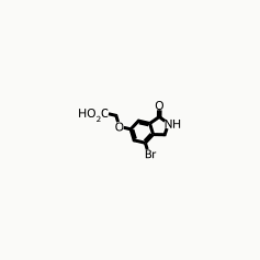 O=C(O)COc1cc(Br)c2c(c1)C(=O)NC2